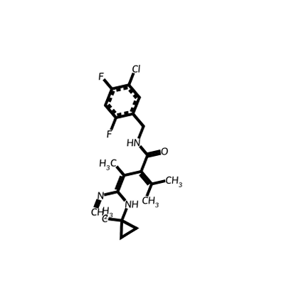 C=N/C(NC1(C)CC1)=C(\C)C(C(=O)NCc1cc(Cl)c(F)cc1F)=C(C)C